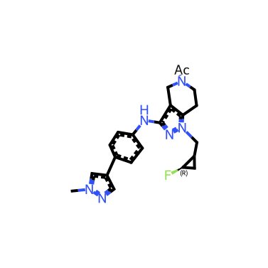 CC(=O)N1CCc2c(c(Nc3ccc(-c4cnn(C)c4)cc3)nn2CC2C[C@H]2F)C1